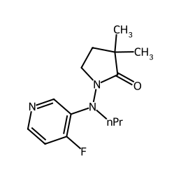 CCCN(c1cnccc1F)N1CCC(C)(C)C1=O